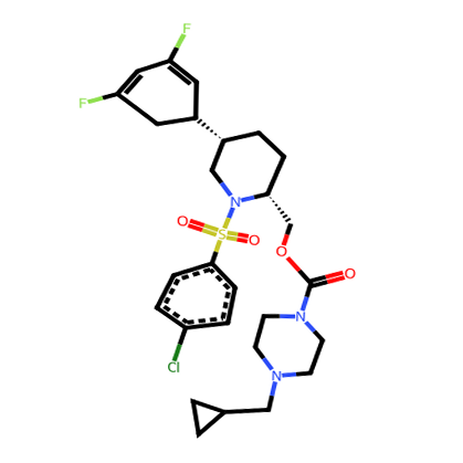 O=C(OC[C@H]1CC[C@@H](C2C=C(F)C=C(F)C2)CN1S(=O)(=O)c1ccc(Cl)cc1)N1CCN(CC2CC2)CC1